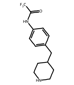 O=C(Nc1ccc(CC2CCNCC2)cc1)C(F)(F)F